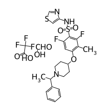 Cc1c(OC2CCN(C(C)c3ccccc3)CC2)cc(F)c(S(=O)(=O)Nc2cscn2)c1F.O=C(O)C(F)(F)F.O=CO